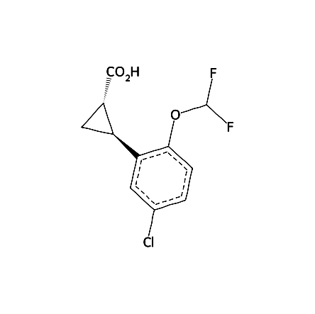 O=C(O)[C@H]1C[C@@H]1c1cc(Cl)ccc1OC(F)F